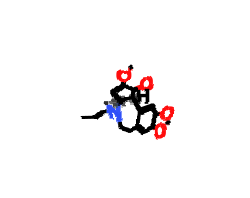 CCCN1CCc2cc3c(cc2[C@@H]2C(=O)C(OC)=C[C@@]21C)OCO3